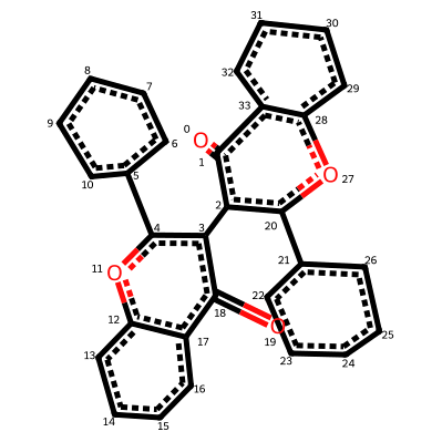 O=c1c(-c2c(-c3ccccc3)oc3ccccc3c2=O)c(-c2ccccc2)oc2ccccc12